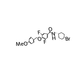 COc1ccc(COc2c(F)cc(C(=O)NC[C@H]3CC[C@@H](Br)CC3)cc2F)cc1